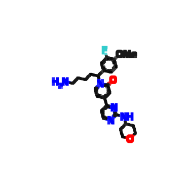 COc1ccc(C(CCCCN)n2ccc(-c3ccnc(NC4CCOCC4)n3)cc2=O)cc1F